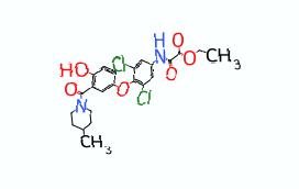 CCOC(=O)C(=O)Nc1cc(Cl)c(Oc2ccc(O)c(C(=O)N3CCC(C)CC3)c2)c(Cl)c1